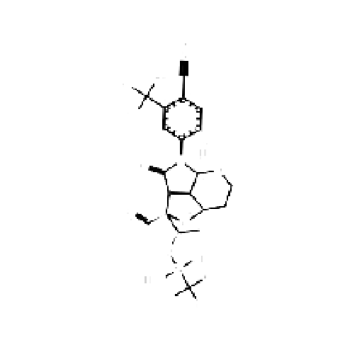 CC(C)(C)[Si](C)(C)O[C@@H]1C[C@@]23CCO[C@H]4[C@@H]2[C@H](C(=O)N4c2ccc(C#N)c(C(F)(F)F)c2)[C@]1(C=O)O3